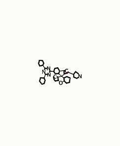 c1ccc(-c2nc(-c3ccccc3)nc(-c3ccc4c(c3)C3(c5ccccc5Oc5ccccc53)c3cc(-c5ccncc5)ccc3-4)n2)cc1